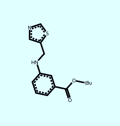 CC(C)(C)OC(=O)c1cccc(NCc2cncs2)c1